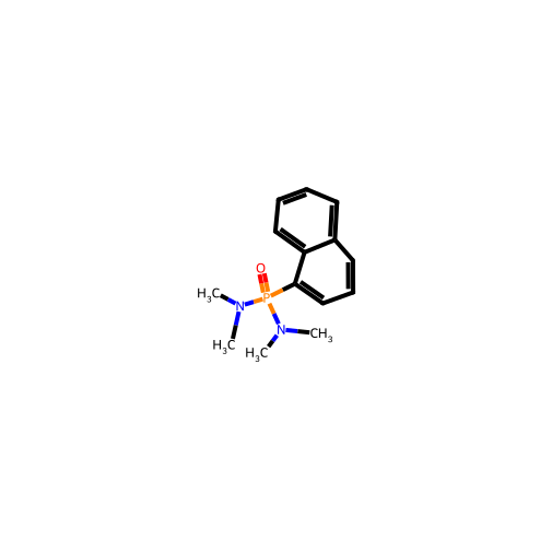 CN(C)P(=O)(c1cccc2ccccc12)N(C)C